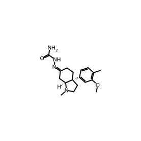 COc1cc([C@@]23CCC(=NNC(N)=O)C[C@@H]2N(C)CC3)ccc1C